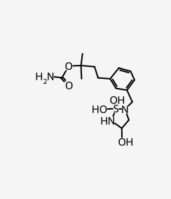 CC(C)(CCc1cccc(CN2CC(O)NS2(O)O)c1)OC(N)=O